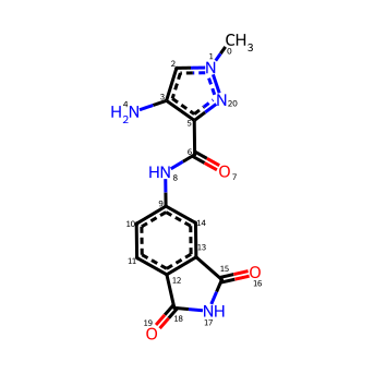 Cn1cc(N)c(C(=O)Nc2ccc3c(c2)C(=O)NC3=O)n1